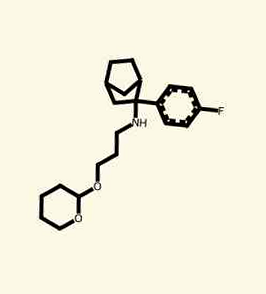 Fc1ccc(C2(NCCCOC3CCCCO3)CC3CCC2C3)cc1